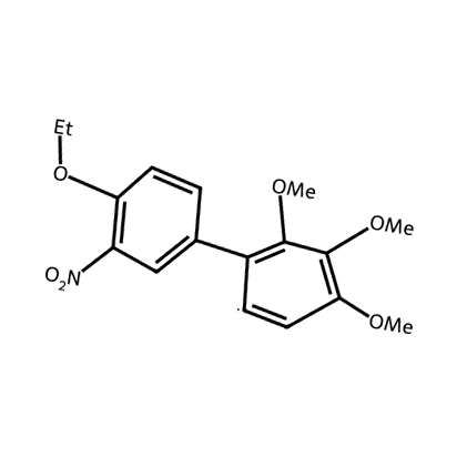 CCOc1ccc(-c2[c]cc(OC)c(OC)c2OC)cc1[N+](=O)[O-]